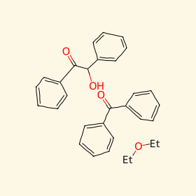 CCOCC.O=C(c1ccccc1)C(O)c1ccccc1.O=C(c1ccccc1)c1ccccc1